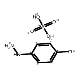 NNc1ccc(Cl)cc1.O=S(=O)(O)O